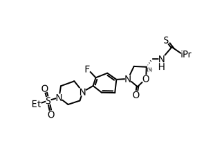 CCS(=O)(=O)N1CCN(c2ccc(N3C[C@H](CNC(=S)C(C)C)OC3=O)cc2F)CC1